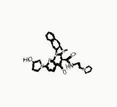 Cn1c2cc3ccccc3cc2n2c3nc(N4CC[C@@H](O)C4)ccc3c(=O)c(C(=O)NCCN3CCCC3)c12